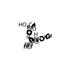 CN1CCN(C2CCN(C(=O)Nc3cc(Oc4ccc(N(F)C(=O)C5(C(=O)O)CC5)cc4)ccn3)CC2)CC1.Cl.Cl.Cl